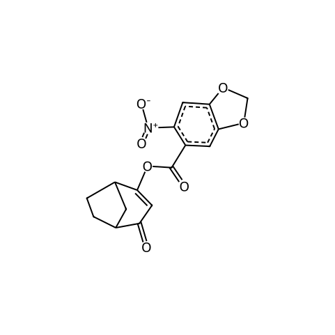 O=C(OC1=CC(=O)C2CCC1C2)c1cc2c(cc1[N+](=O)[O-])OCO2